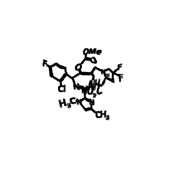 COC(=O)OC1=C(CN2CC(F)(F)C[C@H]2C(=O)O)NC(c2nc(C)cn2C)=NC1c1ccc(F)cc1Cl